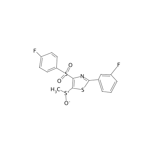 C[S+]([O-])c1sc(-c2cccc(F)c2)nc1S(=O)(=O)c1ccc(F)cc1